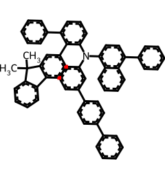 CC1(C)c2ccccc2-c2ccc(-c3c(-c4ccccc4)cccc3N(c3cccc(-c4ccc(-c5ccccc5)cc4)c3)c3ccc(-c4ccccc4)c4ccccc34)cc21